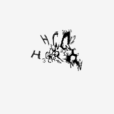 CN(C(=O)OC(C)(C)C)[C@@H]1CCCN(Cc2ccnc(C#N)c2)C1